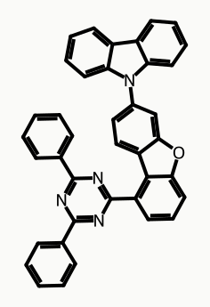 c1ccc(-c2nc(-c3ccccc3)nc(-c3cccc4oc5cc(-n6c7ccccc7c7ccccc76)ccc5c34)n2)cc1